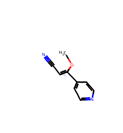 CO/C(=C\C#N)c1ccncc1